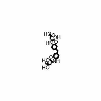 O=C(O)C[C@H](NC1CCC(CC2CCC(N[C@@H](CC(=O)O)C(=O)O)CC2)CC1)C(=O)O